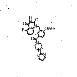 COc1ccc(C(=O)N2CCN(c3ncccn3)CC2)cc1Cn1c(=O)[nH]c(=O)c2c(F)cccc21